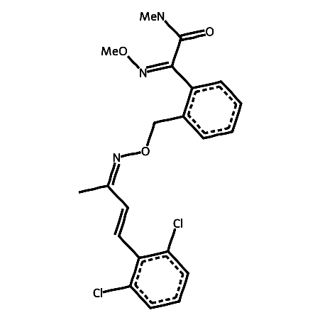 CNC(=O)C(=NOC)c1ccccc1CON=C(C)C=Cc1c(Cl)cccc1Cl